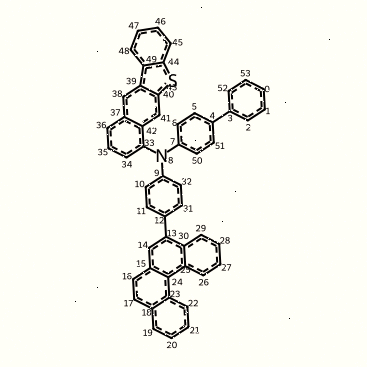 c1ccc(-c2ccc(N(c3ccc(-c4cc5ccc6ccccc6c5c5ccccc45)cc3)c3cccc4cc5c(cc34)sc3ccccc35)cc2)cc1